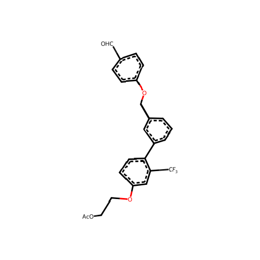 CC(=O)OCCOc1ccc(-c2cccc(COc3ccc(C=O)cc3)c2)c(C(F)(F)F)c1